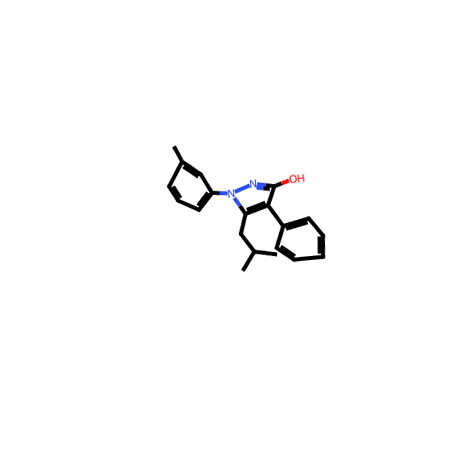 Cc1cccc(-n2nc(O)c(-c3ccccc3)c2CC(C)C)c1